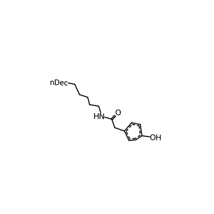 CCCCCCCCCCCCCCCNC(=O)Cc1ccc(O)cc1